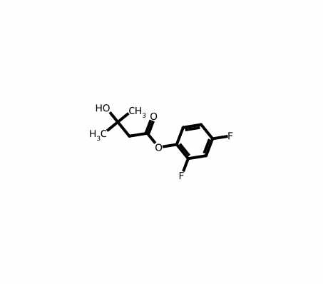 CC(C)(O)CC(=O)Oc1ccc(F)cc1F